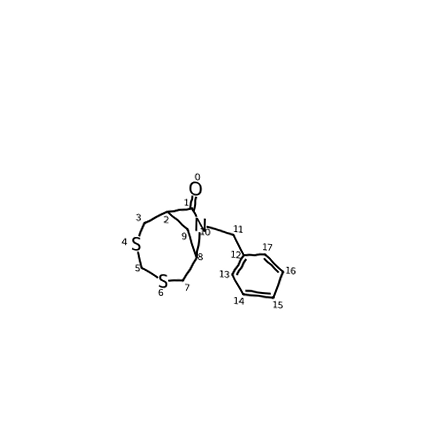 O=C1C2CSCSCC(C2)N1Cc1ccccc1